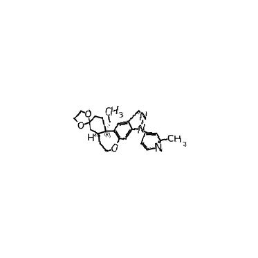 CC[C@@]12CCC3(C[C@@H]1CCOc1cc4c(cnn4-c4ccnc(C)c4)cc12)OCCO3